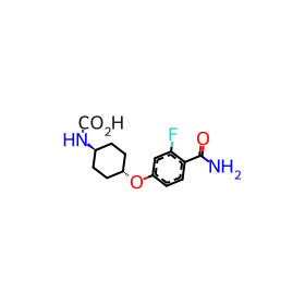 NC(=O)c1ccc(O[C@H]2CC[C@H](NC(=O)O)CC2)cc1F